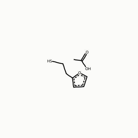 CC(=O)O.SCCc1ccco1